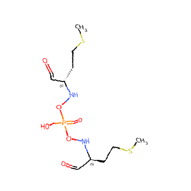 CSCC[C@@H](C=O)NOP(=O)(O)ON[C@H](C=O)CCSC